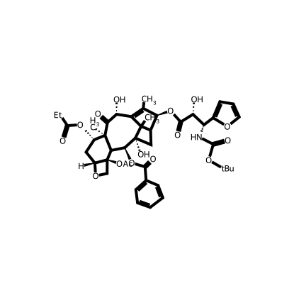 CCC(=O)O[C@H]1C[C@H]2OC[C@@]2(OC(C)=O)C2[C@H](OC(=O)c3ccccc3)[C@]3(O)CC4[C@H](OC(=O)[C@H](O)[C@@H](NC(=O)OC(C)(C)C)c5ccco5)C(C)=C([C@@H](O)C(=O)[C@@]21C)C43C